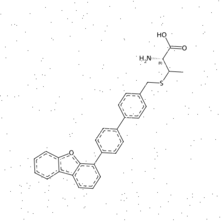 CC(SCc1ccc(-c2ccc(-c3cccc4c3oc3ccccc34)cc2)cc1)[C@H](N)C(=O)O